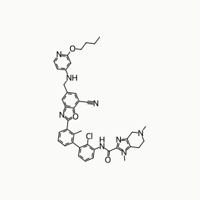 CCCCOc1cc(NCc2cc(C#N)c3oc(-c4cccc(-c5cccc(NC(=O)c6nc7c(n6C)CCN(C)C7)c5Cl)c4C)nc3c2)ccn1